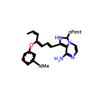 C\C=C/C(=C\C=C\C1=C2C(N)=NC=CN2C(CCCCC)N1)Oc1cccc(NC)c1